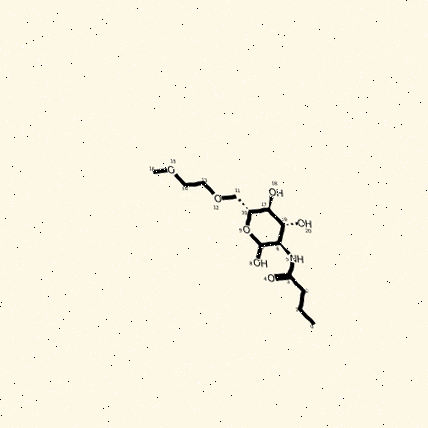 CCCC(=O)N[C@H]1C(O)O[C@H](COCCOC)[C@@H](O)[C@@H]1O